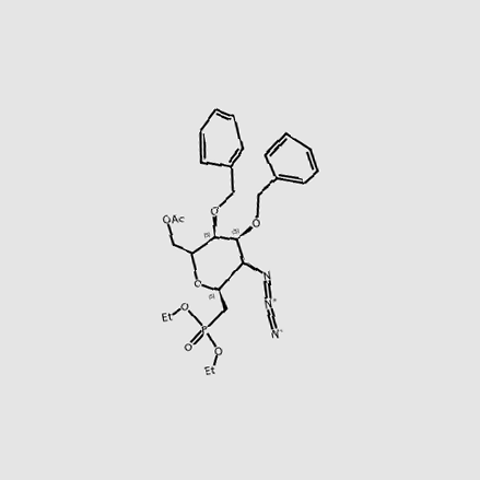 CCOP(=O)(C[C@H]1OC(COC(C)=O)[C@@H](OCc2ccccc2)[C@@H](OCc2ccccc2)C1N=[N+]=[N-])OCC